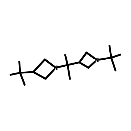 CC(C)(C)C1CN(C(C)(C)C2CN(C(C)(C)C)C2)C1